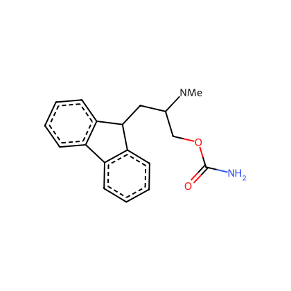 CNC(COC(N)=O)CC1c2ccccc2-c2ccccc21